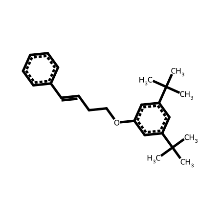 CC(C)(C)c1cc(OCCC=Cc2ccccc2)cc(C(C)(C)C)c1